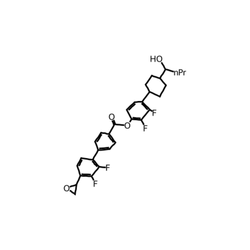 CCCC(O)C1CCC(c2ccc(OC(=O)c3ccc(-c4ccc(C5CO5)c(F)c4F)cc3)c(F)c2F)CC1